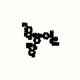 CC(C)c1ccc2c(Nc3cc(C(=O)NC(C)c4ccncc4)ccc3Sc3ccc(NC(=O)OC(C)(C)C)cc3)ncnc2n1